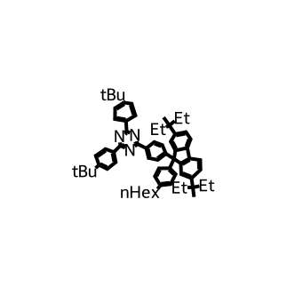 CCCCCCc1ccc(C2(c3ccc(-c4nc(-c5ccc(C(C)(C)C)cc5)nc(-c5ccc(C(C)(C)C)cc5)n4)cc3)c3cc(C(C)(CC)CC)ccc3-c3ccc(C(C)(CC)CC)cc32)cc1